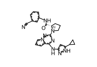 N#Cc1cccc(NC(=O)[C@@H]2CCCN2c2nc(Nc3cc(C4CC4)[nH]n3)c3cccn3n2)c1